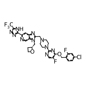 Fc1cc(Cl)ccc1COc1nc(N2CCN(Cc3nc4cc(-c5nnc(C(F)(F)F)[nH]5)ncc4n3C[C@@H]3CCO3)CC2)ncc1F